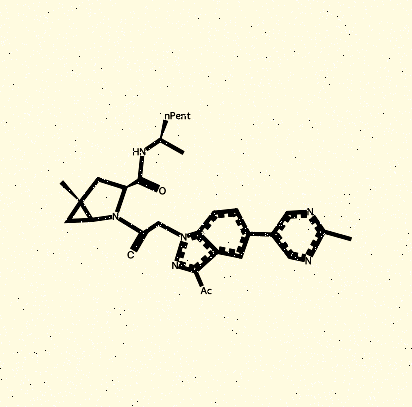 CCCCC[C@@H](C)NC(=O)[C@@H]1C[C@@]2(C)CC2N1C(=O)Cn1nc(C(C)=O)c2cc(-c3cnc(C)nc3)ccc21